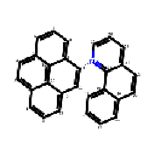 c1cc2ccc3cccc4ccc(c1)c2c34.c1ccc2c(c1)ccc1cccnc12